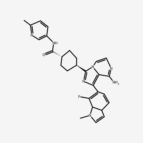 Cc1ccc(NC(=O)[C@H]2CC[C@H](c3nc(C4=C(F)C5C(C=C4)C=CN5C)c4c(N)nccn43)CC2)cn1